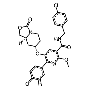 COc1nc(-c2ccc(=O)[nH]c2)c(O[C@H]2CCN3C(=O)OC[C@@H]3C2)cc1C(=O)NCc1ccc(Cl)cc1